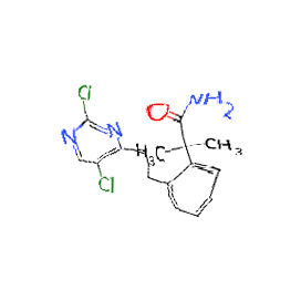 CC(C)(C(N)=O)c1ccccc1CCc1nc(Cl)ncc1Cl